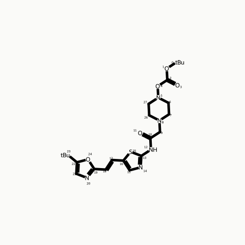 CC(C)(C)OC(=O)ON1CCN(CC(=O)Nc2ncc(/C=C/c3ncc(C(C)(C)C)o3)s2)CC1